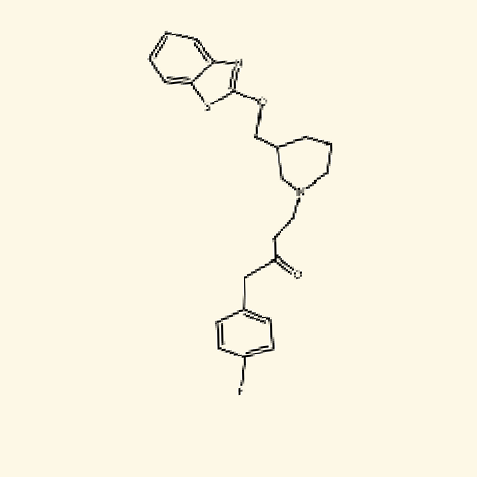 O=C(CCN1CCCC(COc2nc3ccccc3s2)C1)Cc1ccc(F)cc1